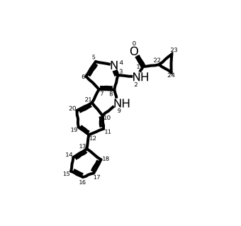 O=C(Nc1nccc2c1[nH]c1cc(-c3ccccc3)ccc12)C1CC1